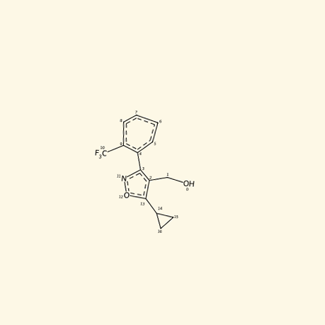 OCc1c(-c2ccccc2C(F)(F)F)noc1C1CC1